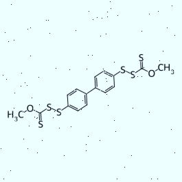 COC(=S)SSc1ccc(-c2ccc(SSC(=S)OC)cc2)cc1